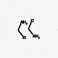 CC[CH2][AlH2].[AlH2][CH2]Cl